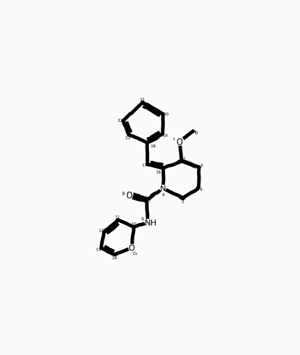 COC1CCCN(C(=O)NC2C=CC=CO2)C1=Cc1ccccc1